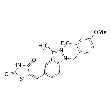 COc1ccc(Cn2nc(C)c3cc(C=C4SC(=O)NC4=O)ccc32)c(C(F)(F)F)c1